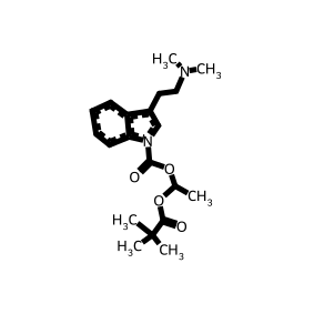 CC(OC(=O)n1cc(CCN(C)C)c2ccccc21)OC(=O)C(C)(C)C